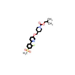 CC(C)COC(=O)N1CCC(COc2ccc(-c3ccc(S(C)(=O)=O)cc3F)nc2)CC1